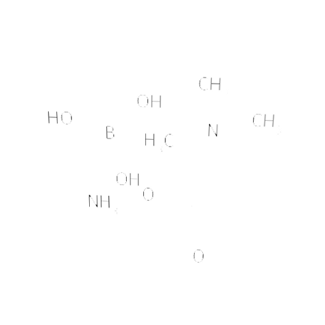 C[N+](C)(C)CC(=O)[O-].N.OB(O)O